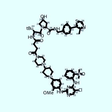 COc1cc(N2CCC(N3CCN(C(=O)CCC(=O)NC(C(=O)N4C[C@H](O)C[C@H]4C(=O)NCc4ccc(-c5scnc5C)cc4)C(C)(C)C)CC3)CC2)ccc1Nc1ncc(Cl)c(Nc2ccccc2P(C)(C)=O)n1